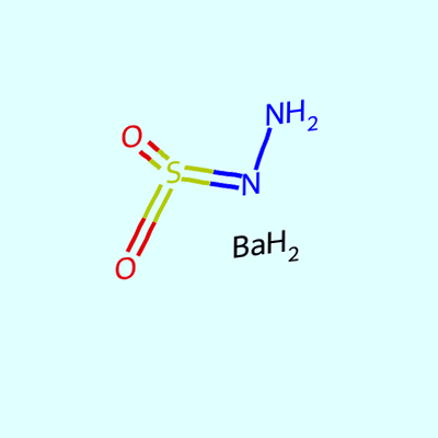 NN=S(=O)=O.[BaH2]